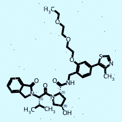 CCOCCOCCOc1cc(-c2scnc2C)ccc1CNC(=O)[C@@H]1C[C@@H](O)CN1C(=O)[C@H](C(C)C)N1Cc2ccccc2C1=O